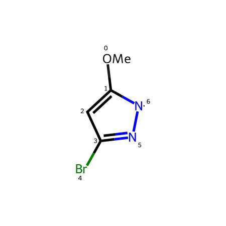 COC1=CC(Br)=N[N]1